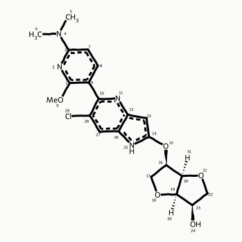 COc1nc(N(C)C)ccc1-c1nc2cc(O[C@@H]3CO[C@H]4[C@@H]3OC[C@H]4O)[nH]c2cc1Cl